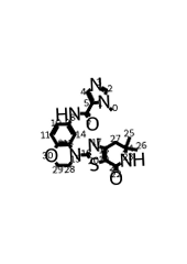 Cn1cncc1C(=O)Nc1ccc2c(c1)N(c1nc3c(s1)C(=O)NC(C)(C)C3)CCO2